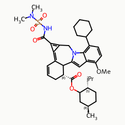 COc1ccc(C2CCCCC2)c2c1cc1n2CC2=C(C(=O)NS(=O)(=O)N(C)C)C2=C2C=CC[C@@H](C(=O)OC3C[C@H](C)CC[C@H]3C(C)C)C21